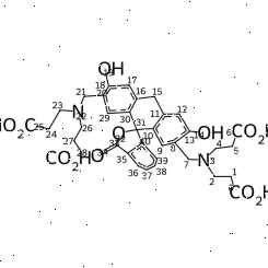 O=C(O)CCN(CCC(=O)O)Cc1cc2c(cc1O)Cc1cc(O)c(CN(CCC(=O)O)CCC(=O)O)cc1C21OC(=O)c2ccccc21